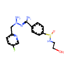 N/C(=N\N(N)Cc1ccc(F)cn1)c1ccc([S+]([O-])NCCO)cc1